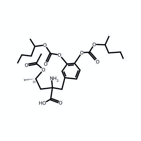 CCCC(C)OC(=O)Oc1ccc(CC(N)(C[C@H](C)OC(C)=O)C(=O)O)cc1OC(=O)OC(C)CCC